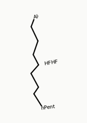 CCCCCCCCCCC[CH2][Al].F.F